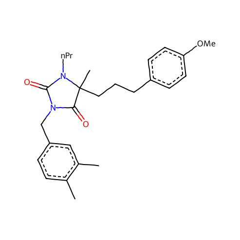 CCCN1C(=O)N(Cc2ccc(C)c(C)c2)C(=O)C1(C)CCCc1ccc(OC)cc1